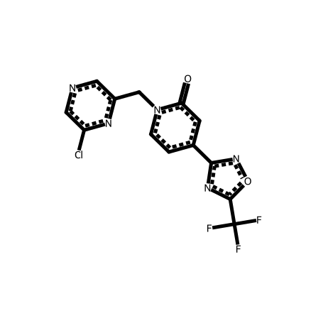 O=c1cc(-c2noc(C(F)(F)F)n2)ccn1Cc1cncc(Cl)n1